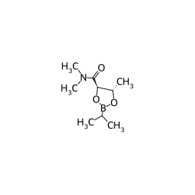 CC(C)B1O[C@@H](C)[C@H](C(=O)N(C)C)O1